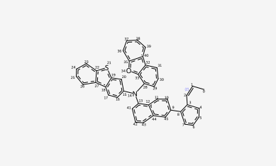 C/C=C\c1ccccc1-c1ccc2c(N(c3ccc4c(c3)sc3ccccc34)c3cccc4c3oc3ccccc34)cccc2c1